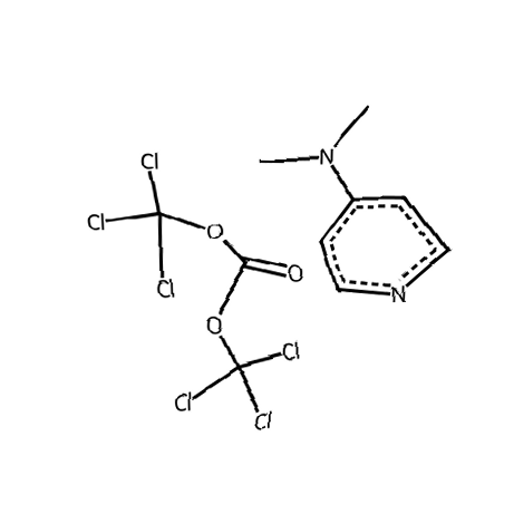 CN(C)c1ccncc1.O=C(OC(Cl)(Cl)Cl)OC(Cl)(Cl)Cl